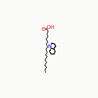 CCCCCCCCCCCCCCCCCC(=O)O.c1ccc2ncccc2c1